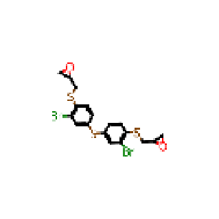 Brc1cc(Sc2ccc(SCC3CO3)c(Br)c2)ccc1SCC1CO1